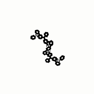 c1ccc(C(c2ccc3c(c2)c2ccccc2n3-c2ccccc2)c2ccc3c(c2)c2cccc4c5cc6c(cc5n3c24)c2cccc3c4cc(C(c5ccccc5)c5ccc7c(c5)c5ccccc5n7-c5ccccc5)ccc4n6c32)cc1